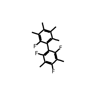 Cc1c(C)c(C)c(-c2c(F)c(C)c(F)c(C)c2F)c(F)c1C